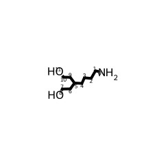 NCCCCC(CCO)CCO